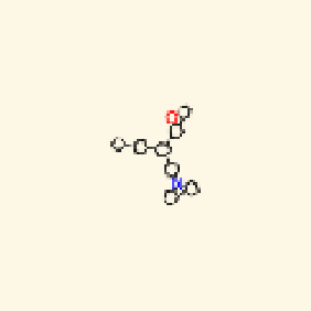 c1ccc(-c2ccc(-c3cc(-c4ccc(-n5c6ccccc6c6ccccc65)cc4)cc(-c4ccc5c(c4)oc4ccccc45)c3)cc2)cc1